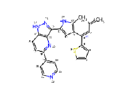 C=C/C=C(/c1cccs1)c1cc(-c2n[nH]c3ccc(-c4ccncc4)nc23)[nH]c1C